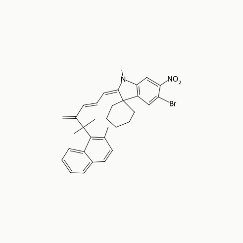 C=C(/C=C/C=C1/N(C)c2cc([N+](=O)[O-])c(Br)cc2C12CCCCC2)C(C)(C)c1c(C)ccc2ccccc12